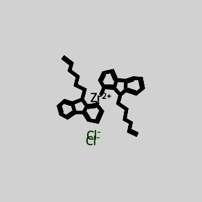 C=CCCCCC1c2ccccc2-c2ccc[c]([Zr+2][c]3cccc4c3C(CCCCC=C)c3ccccc3-4)c21.[Cl-].[Cl-]